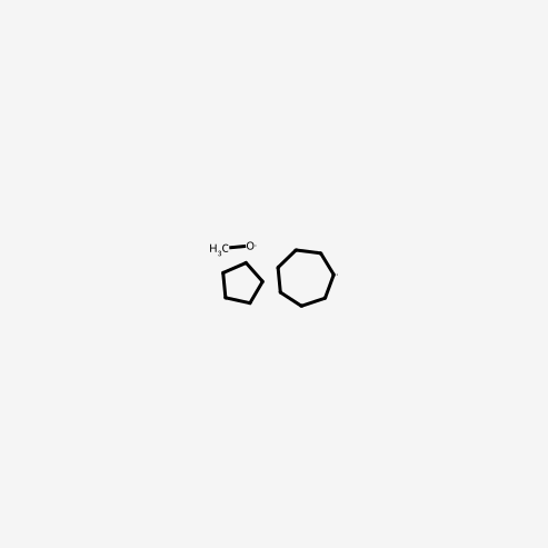 C1CCCC1.C[O].[CH]1CCCCCC1